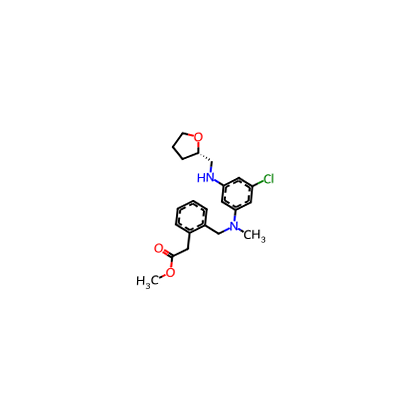 COC(=O)Cc1ccccc1CN(C)c1cc(Cl)cc(NC[C@@H]2CCCO2)c1